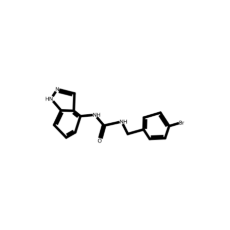 O=C(NCc1ccc(Br)cc1)Nc1cccc2[nH]ncc12